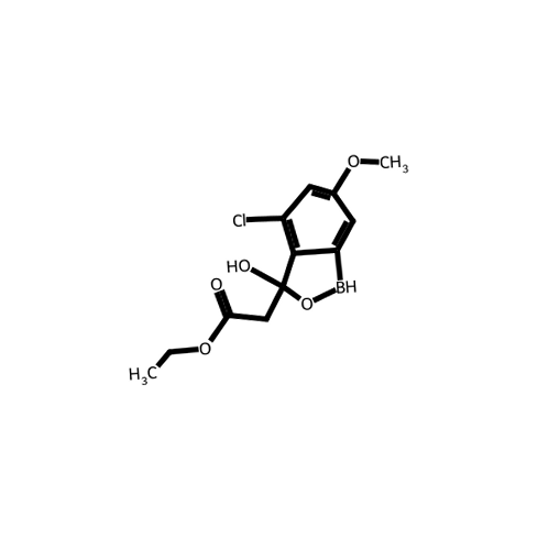 CCOC(=O)CC1(O)OBc2cc(OC)cc(Cl)c21